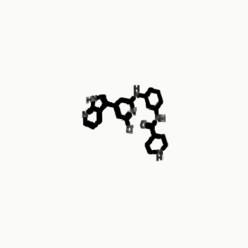 O=C(NC1CCCC(Nc2cc(-c3c[nH]c4ncccc34)cc(Cl)n2)C1)C1CCNCC1